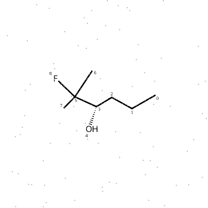 CCC[C@H](O)C(C)(C)F